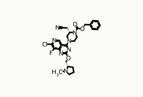 CN1CCC[C@H]1COc1nc(N2CCN(C(=O)OCc3ccccc3)[C@@H](CC#N)C2)c2cnc(Cl)c(F)c2n1